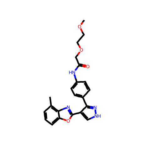 COCCOCC(=O)Nc1ccc(-c2n[nH]cc2-c2nc3c(C)cccc3o2)cc1